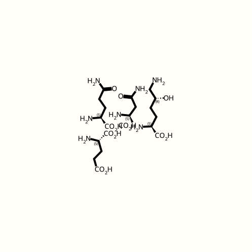 NC(=O)CC[C@H](N)C(=O)O.NC(=O)C[C@H](N)C(=O)O.NC[C@H](O)CC[C@H](N)C(=O)O.N[C@@H](CCC(=O)O)C(=O)O